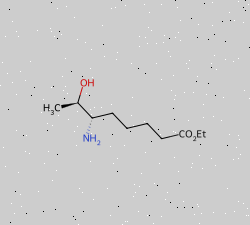 CCOC(=O)CCCC[C@H](N)[C@@H](C)O